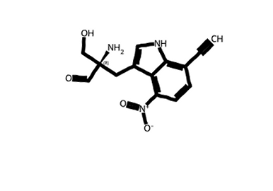 C#Cc1ccc([N+](=O)[O-])c2c(C[C@](N)(C=O)CO)c[nH]c12